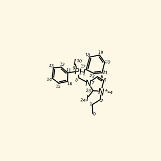 CCC[N+]1(C)C=CN(C[PH](I)(c2ccccc2)c2ccccc2)C1I